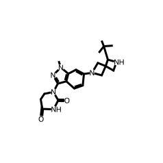 Cn1nc(N2CCC(=O)NC2=O)c2ccc(N3CC4(CNC4C(C)(C)C)C3)cc21